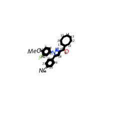 COc1ccc(-n2nc(C(=O)C3CCCCCCC3)cc2-c2ccc(C#N)cc2)cc1F